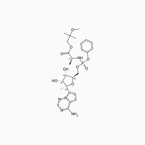 COC(C)(C)COC(=O)[C@H](C)NP(=O)(OC[C@H]1O[C@@](C)(c2ccc3c(N)ncnn23)[C@H](O)[C@@H]1O)Oc1ccccc1